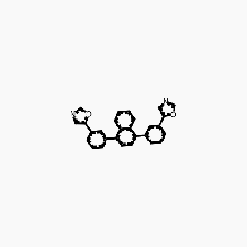 c1cc(-c2cnco2)cc(-c2ccc(-c3cccc(-c4cnco4)c3)c3ccccc23)c1